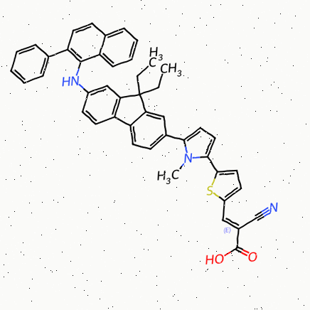 CCC1(CC)c2cc(Nc3c(-c4ccccc4)ccc4ccccc34)ccc2-c2ccc(-c3ccc(-c4ccc(/C=C(\C#N)C(=O)O)s4)n3C)cc21